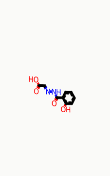 O=C(O)/C=N/NC(=O)c1ccccc1O